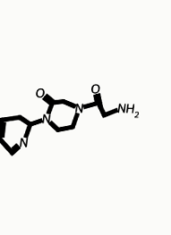 NCC(=O)N1CCN(C2CC=CC=N2)C(=O)C1